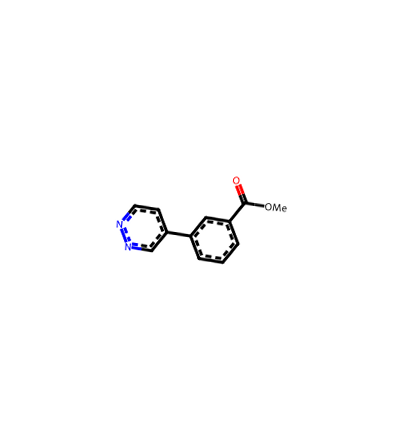 COC(=O)c1cccc(-c2ccnnc2)c1